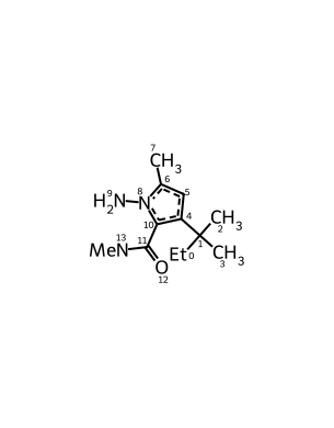 CCC(C)(C)c1cc(C)n(N)c1C(=O)NC